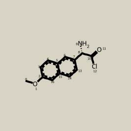 COc1ccc2cc([C@H](N)C(=O)Cl)ccc2c1